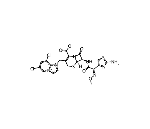 CO/N=C(\C(=O)N[C@@H]1C(=O)N2C(C(=O)[O-])=C(Cn3cc[n+]4cc(Cl)cc(Cl)c34)CS[C@H]12)c1csc(N)n1